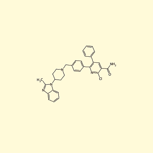 Cc1nc2ccccc2n1C1CCN(Cc2ccc(-c3nc(Cl)c(C(N)=O)cc3-c3ccccc3)cc2)CC1